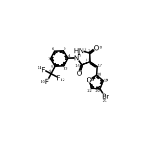 O=C1NN(c2cccc(C(F)(F)F)c2)C(=O)C1=Cc1cc(Br)co1